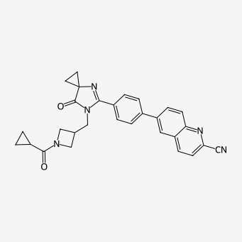 N#Cc1ccc2cc(-c3ccc(C4=NC5(CC5)C(=O)N4CC4CN(C(=O)C5CC5)C4)cc3)ccc2n1